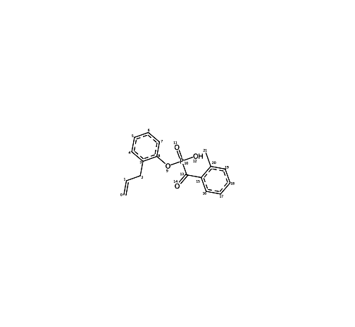 C=CCc1ccccc1OP(=O)(O)C(=O)c1ccccc1C